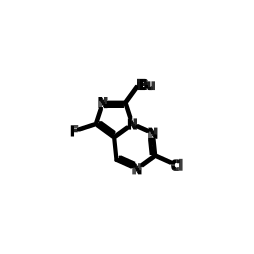 CCC(C)c1nc(F)c2cnc(Cl)nn12